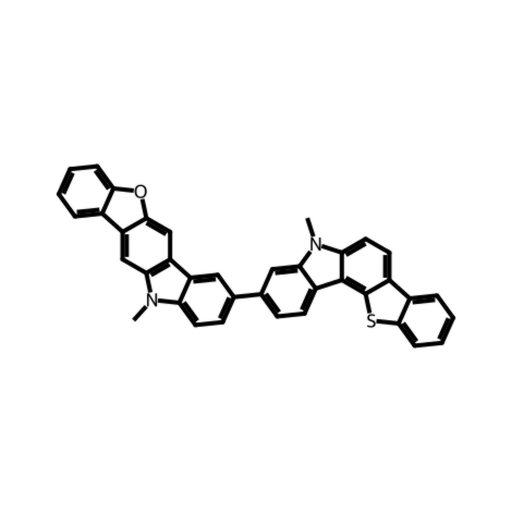 Cn1c2ccc(-c3ccc4c5c6sc7ccccc7c6ccc5n(C)c4c3)cc2c2cc3oc4ccccc4c3cc21